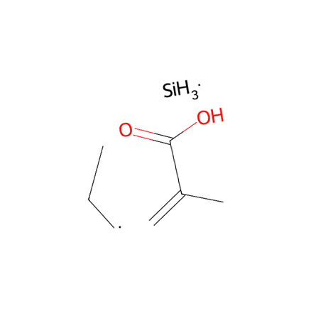 C=C(C)C(=O)O.[CH2]CC.[SiH3]